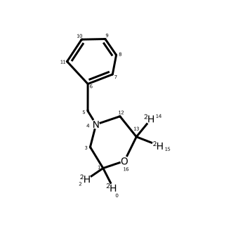 [2H]C1([2H])CN(Cc2ccccc2)CC([2H])([2H])O1